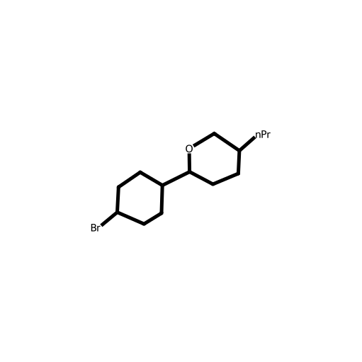 CCCC1CCC(C2CCC(Br)CC2)OC1